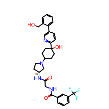 O=C(CNC(=O)c1cccc(C(F)(F)F)c1)N[C@@H]1CCN(C2CCC(O)(c3ccc(-c4ccccc4CO)cn3)CC2)C1